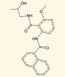 COc1cccc(NC(=O)c2cccc3ccccc23)c1C(=O)NCC(C)O